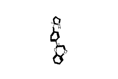 c1ccc2c(c1)OC[C@H](c1ccc(C[C@@H]3CCCN3)cc1)O2